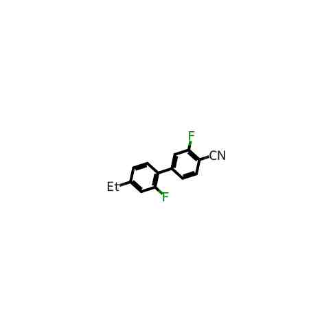 CCc1ccc(-c2ccc(C#N)c(F)c2)c(F)c1